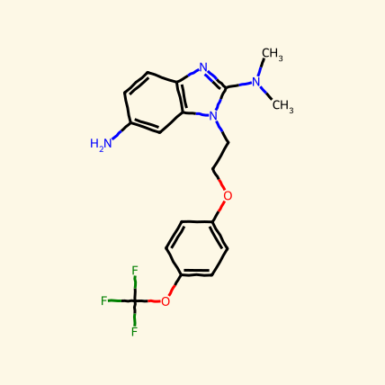 CN(C)c1nc2ccc(N)cc2n1CCOc1ccc(OC(F)(F)F)cc1